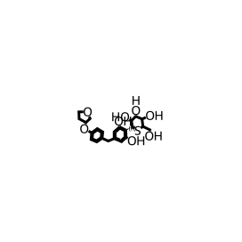 OCC1S[C@H](c2c(O)cc(Cc3ccc(OC4CCOC4)cc3)cc2O)C(O)C(O)C1O